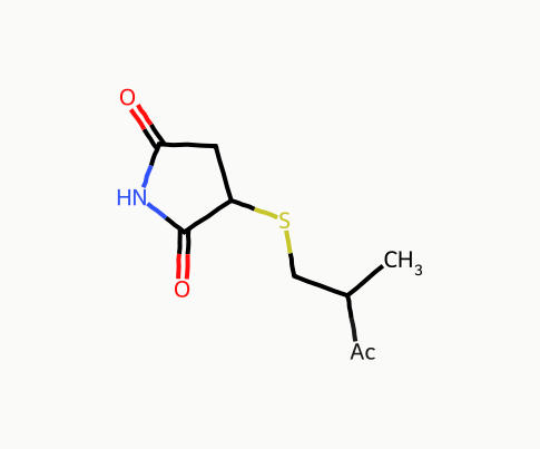 CC(=O)C(C)CSC1CC(=O)NC1=O